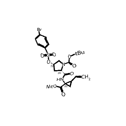 C=CC1C[C@]1(NC(=O)[C@@H]1C[C@H](OS(=O)(=O)c2ccc(Br)cc2)CN1C(=O)OC(C)(C)C)C(=O)OC